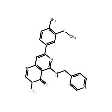 COc1cc(-c2cc3ncn(C)c(=O)c3c(NCc3ccncc3)n2)ccc1N